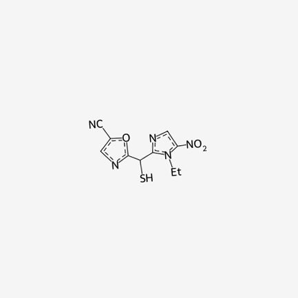 CCn1c([N+](=O)[O-])cnc1C(S)c1ncc(C#N)o1